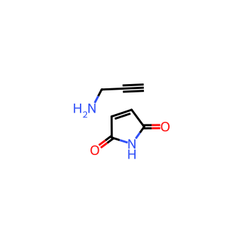 C#CCN.O=C1C=CC(=O)N1